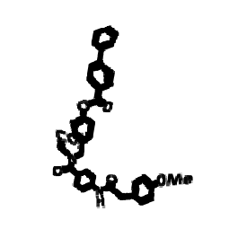 COc1ccc(CC(=O)Nc2ccc(C(=O)N(CC(=O)O)Cc3ccc(OC(=O)c4ccc(-c5ccccc5)cc4)cc3)cc2)cc1